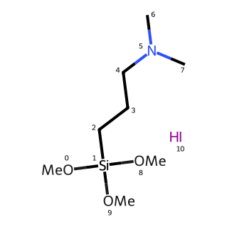 CO[Si](CCCN(C)C)(OC)OC.I